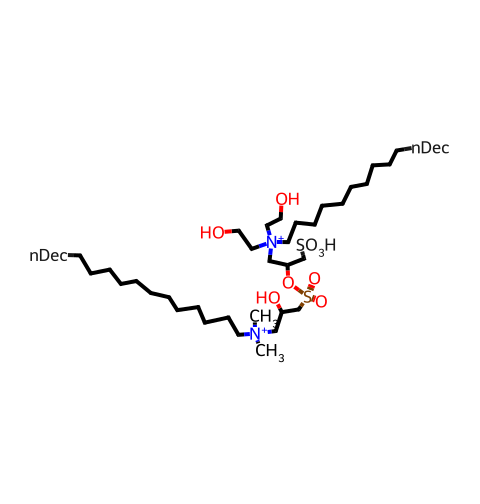 CCCCCCCCCCCCCCCCCCCCCC[N+](C)(C)CC(O)CS(=O)(=O)OC(C[N+](CCO)(CCO)CCCCCCCCCCCCCCCCCCCC)CS(=O)(=O)O